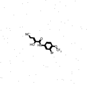 N#CCC=C(O)C(=O)Nc1ccc(OC(F)(F)F)c(Br)c1